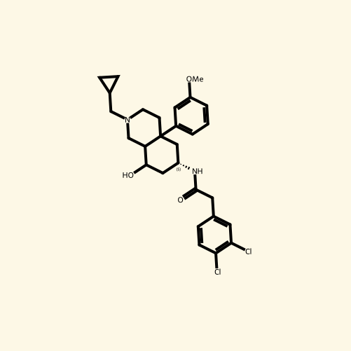 COc1cccc(C23CCN(CC4CC4)CC2C(O)C[C@@H](NC(=O)Cc2ccc(Cl)c(Cl)c2)C3)c1